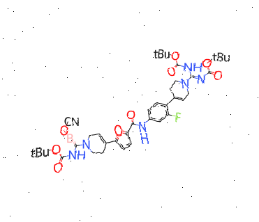 CC(C)(C)OC(=O)N=C(NC(=O)OC(C)(C)C)N1CC=C(c2ccc(NC(=O)c3ccc(C4=CCN(C(=BOC#N)NC(=O)OC(C)(C)C)CC4)o3)cc2F)CC1